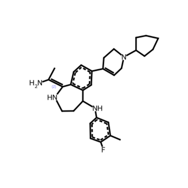 C/C(N)=C1/NCCC(Nc2ccc(F)c(C)c2)c2cc(C3=CCN(C4CCCCC4)CC3)ccc21